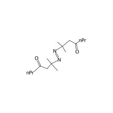 CCCC(=O)CC(C)(C)N=NC(C)(C)CC(=O)CCC